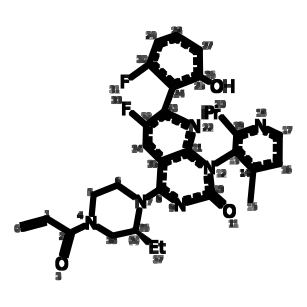 C=CC(=O)N1CCN(c2nc(=O)n(-c3c(C)ccnc3C(C)C)c3nc(-c4c(O)cccc4F)c(F)cc23)[C@@H](CC)C1